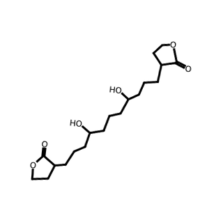 O=C1OCCC1CCCC(O)CCCC(O)CCCC1CCOC1=O